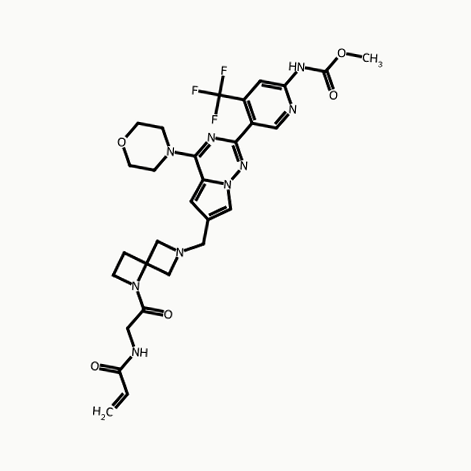 C=CC(=O)NCC(=O)N1CCC12CN(Cc1cc3c(N4CCOCC4)nc(-c4cnc(NC(=O)OC)cc4C(F)(F)F)nn3c1)C2